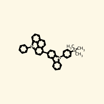 C[Si](C)(C)c1ccc(-n2c3ccccc3c3cc(-c4ccc5c6c4ccc4cccc(c46)n5-c4ccccc4)ccc32)cc1